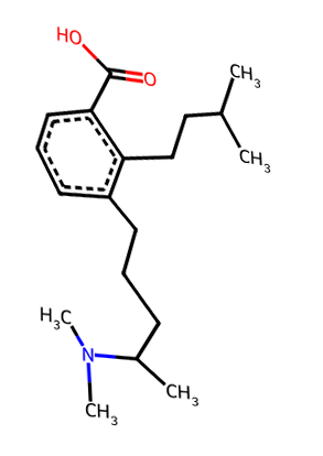 CC(C)CCc1c(CCCC(C)N(C)C)cccc1C(=O)O